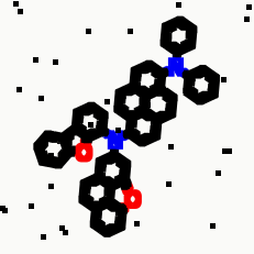 c1ccc(N(c2ccccc2)c2ccc3ccc4c(N(c5cc6ccc7cccc8oc(c5)c6c78)c5cccc6c5oc5ccccc56)ccc5ccc2c3c54)cc1